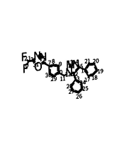 FC(F)c1nnc(-c2ccc(Cn3nnc(-c4ccccc4)c3-c3ccccc3)cc2)o1